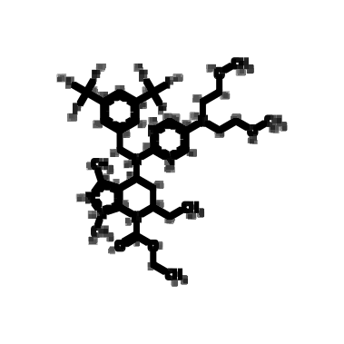 CCOC(=O)N1c2c(c(C)nn2C)C(N(Cc2cc(C(F)(F)F)cc(C(F)(F)F)c2)c2ncc(N(CCOC)CCOC)cn2)CC1CC